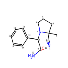 CC1(C#N)CCCN1C(C(N)=O)c1ccccc1